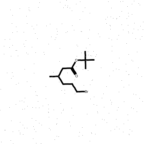 CC(CCCBr)CC(=O)OC(C)(C)C